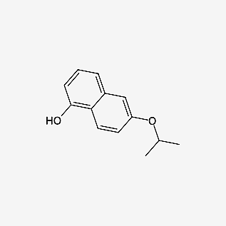 CC(C)Oc1ccc2c(O)cccc2c1